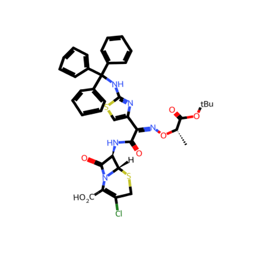 C[C@H](O/N=C(\C(=O)N[C@@H]1C(=O)N2C(C(=O)O)=C(Cl)CS[C@@H]12)c1csc(NC(c2ccccc2)(c2ccccc2)c2ccccc2)n1)C(=O)OC(C)(C)C